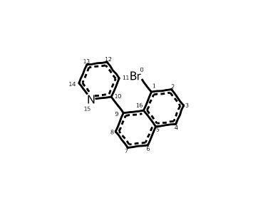 Brc1cccc2cccc(-c3ccccn3)c12